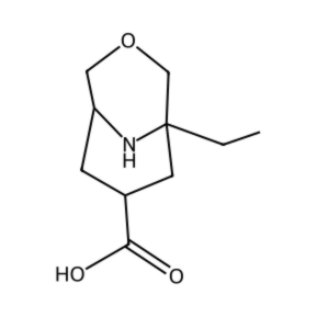 CCC12COCC(CC(C(=O)O)C1)N2